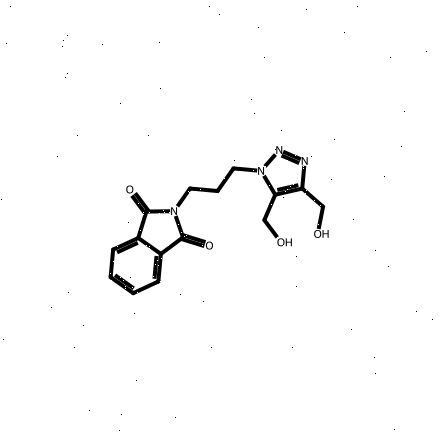 O=C1c2ccccc2C(=O)N1CCCn1nnc(CO)c1CO